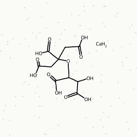 O=C(O)CC(CC(=O)O)(OC(C(=O)O)C(O)C(=O)O)C(=O)O.[CaH2]